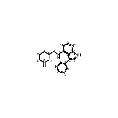 c1ncc(-c2c[nH]c3nccc(NCC4CCCNC4)c23)cn1